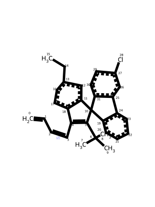 C=C/C=C\C1=C(C(C)(C)C)C2(c3cc(CC)ccc31)c1ccccc1-c1cc(Cl)ccc12